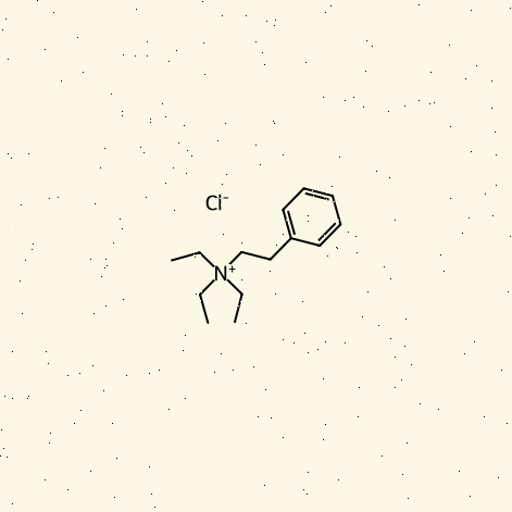 CC[N+](CC)(CC)CCc1ccccc1.[Cl-]